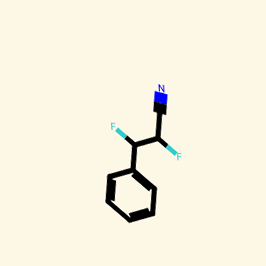 N#C[C](F)C(F)c1ccccc1